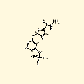 NNC(=O)c1cn(Cc2cccc(OC(F)(F)F)c2)nn1